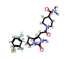 CN(C)C(=O)C1CCN(C(=O)Cc2c3n(c(=O)n2C)C[C@H](c2c(F)ccc(Br)c2F)C3)CC1